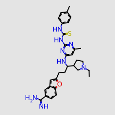 CCN1CCC(C(CCc2cc3cc(C(=N)N)ccc3o2)Nc2cc(C)nc(NC(=S)Nc3ccc(C)cc3)n2)C1